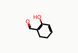 O=CC1=C(O)C=CCC1